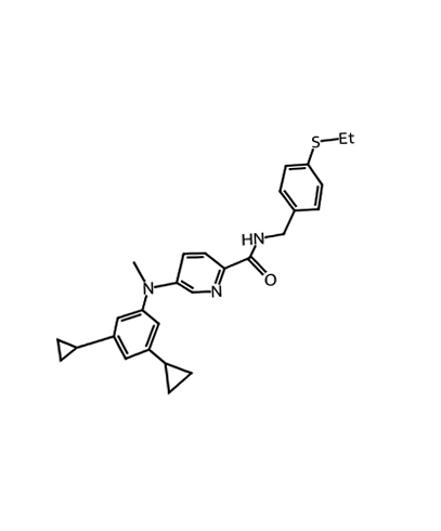 CCSc1ccc(CNC(=O)c2ccc(N(C)c3cc(C4CC4)cc(C4CC4)c3)cn2)cc1